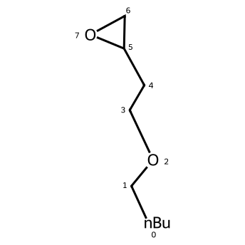 CCCCCOCCC1CO1